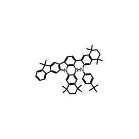 CC(C)(C)c1ccc(N2B3c4cc5c(cc4-n4c6cc7c(cc6c6ccc(c3c64)-c3cc4c(cc32)C(C)(C)CCC4(C)C)C(C)(C)c2ccccc2-7)C(C)(C)CCC5(C)C)cc1